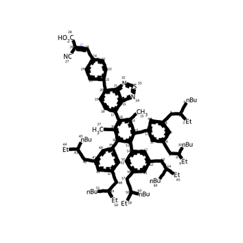 CCCCC(CC)Cc1cc(CC(CC)CCCC)cc(-c2c(C)c(-c3ccc(-c4ccc(/C=C(\C#N)C(=O)O)cc4)c4nsnc34)c(C)c(-c3cc(CC(CC)CCCC)cc(CC(CC)CCCC)c3)c2-c2cc(CC(CC)CCCC)cc(CC(CC)CCCC)c2)c1